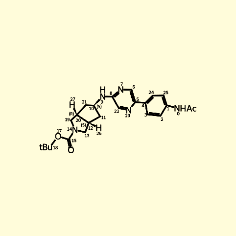 CC(=O)Nc1ccc(-c2cnc(N[C@H]3C[C@@H]4CN(C(=O)OC(C)(C)C)C[C@@H]4C3)cn2)cc1